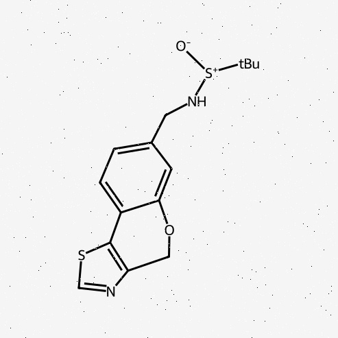 CC(C)(C)[S+]([O-])NCc1ccc2c(c1)OCc1ncsc1-2